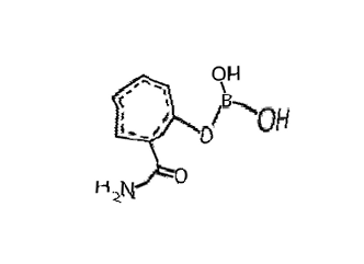 NC(=O)c1ccccc1OB(O)O